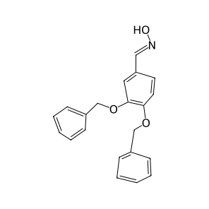 ON=Cc1ccc(OCc2ccccc2)c(OCc2ccccc2)c1